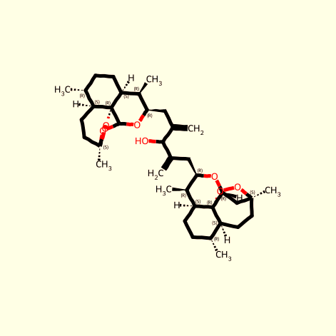 C=C(C[C@H]1OC2O[C@]3(C)CC[C@H]4[C@H](C)CC[C@@H]([C@H]1C)[C@@]24OO3)C(O)C(=C)C[C@H]1O[C@@H]2C[C@]3(C)CC[C@H]4[C@H](C)CC[C@@H]([C@H]1C)[C@@]24OO3